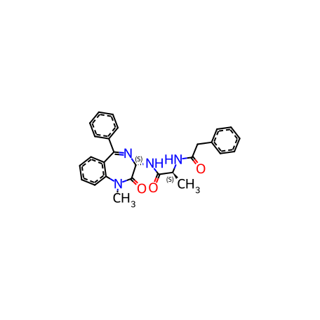 C[C@H](NC(=O)Cc1ccccc1)C(=O)N[C@H]1N=C(c2ccccc2)c2ccccc2N(C)C1=O